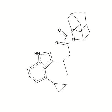 CC(CC(=O)N1C2CC3CC(C2)C(C(=O)O)C1C3)c1c[nH]c2cccc(C3CC3)c12